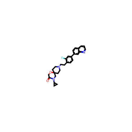 O=C1COC2(CCN(CCc3ccc(-c4ccc5cccnc5c4)cc3F)CC2)CN1C1CC1